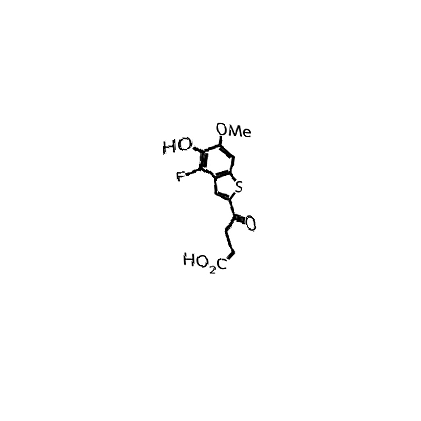 COc1cc2sc(C(=O)CCC(=O)O)cc2c(F)c1O